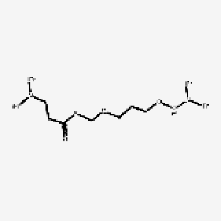 CC(C)N(CCC(=O)SCOCCCOPN(C(C)C)C(C)C)C(C)C